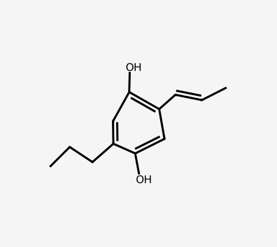 C/C=C/c1cc(O)c(CCC)cc1O